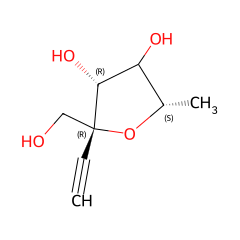 C#C[C@]1(CO)O[C@@H](C)C(O)[C@H]1O